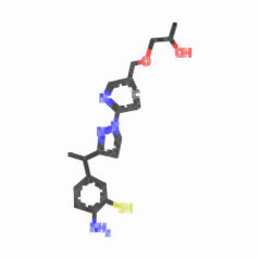 CC(O)COCc1ccc(-n2ccc(C(C)c3ccc(N)c(S)c3)n2)nc1